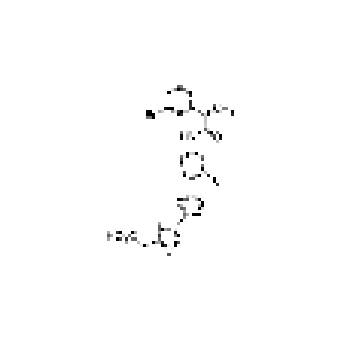 C=C(C(=O)Nc1ccc(-c2ccc(-c3csc(CC(=O)O)n3)o2)c(Cl)c1)c1cccc(Br)c1